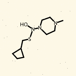 CN1CCN(N(O)SCC2CCC2)CC1